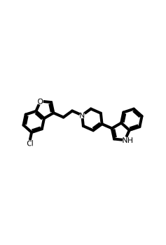 Clc1ccc2occ(CCN3CC=C(c4c[nH]c5ccccc45)CC3)c2c1